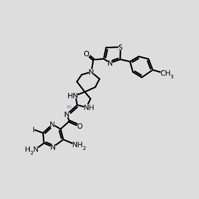 Cc1ccc(-c2nc(C(=O)N3CCC4(CC3)CN/C(=N\C(=O)c3nc(I)c(N)nc3N)N4)cs2)cc1